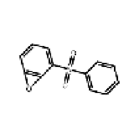 O=S(=O)(c1ccccc1)c1cccc2c1O2